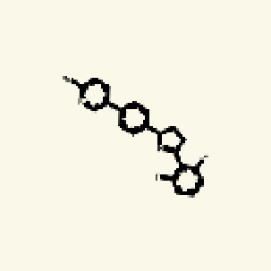 Fc1cccc(F)c1C1=NC(c2ccc(-c3ccc(Br)nc3)cc2)CC1